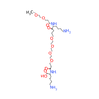 CCOCCOCCC(=O)NC(CCCCN)C(=O)CCCOCCOCCOCCOCCC(=O)NC(CCCCN)C(=O)O